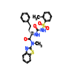 Cc1ccccc1S(=O)(=O)NC(=O)N[C@@H](CCc1ccccc1)C(=O)N(C)c1nc2ccccc2s1